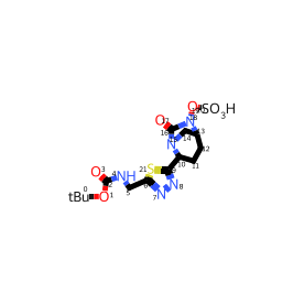 CC(C)(C)OC(=O)NCc1nnc(C2CCC3CN2C(=O)N3OS(=O)(=O)O)s1